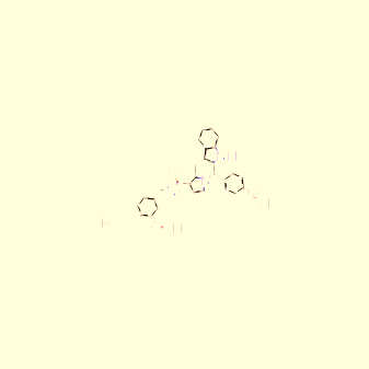 COc1ccc(C2c3[nH]c4ccccc4c3Cc3c(C(=O)NCc4ccc(OC)c(OC)c4)ccn32)cc1